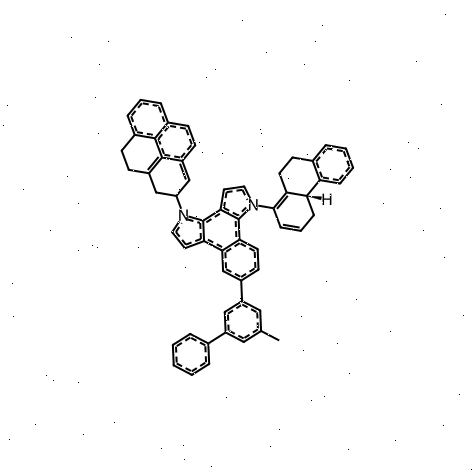 Cc1cc(-c2ccccc2)cc(-c2ccc3c(c2)c2ccn(C4C=c5ccc6cccc7c6c5=C(CC7)C4)c2c2ccn(C4=C5CCc6ccccc6[C@@H]5CC=C4)c32)c1